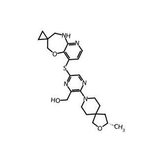 C[C@H]1CC2(CCN(c3ncc(Sc4ccnc5c4OCC4(CC4)CN5)nc3CO)CC2)CO1